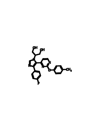 Cc1ccc(Oc2nccc(-c3c(-c4ccc(F)cc4)ncn3C(CO)CO)n2)cc1